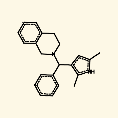 Cc1cc(C(c2ccccc2)N2CCc3c[c]ccc3C2)c(C)[nH]1